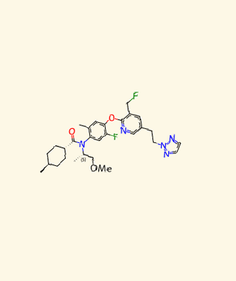 COC[C@H](C)N(c1cc(F)c(Oc2ncc(CCn3nccn3)cc2CF)cc1C)C(=O)[C@H]1CC[C@H](C)CC1